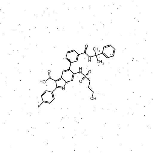 CC(C)(NC(=O)c1cccc(-c2cc3c(C(=O)O)c(-c4ccc(F)cc4)nn3cc2NS(=O)(=O)CCCO)c1)c1ccccc1